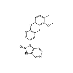 COC1=CC(Oc2ncc(-n3c(=O)[nH]c4cnccc43)cc2F)=C=C=C1C